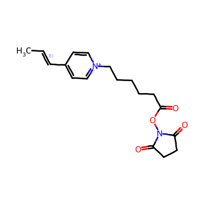 C/C=C/c1cc[n+](CCCCCC(=O)ON2C(=O)CCC2=O)cc1